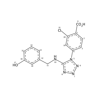 O=C(O)c1ccc(-n2nnnc2NCc2cccc(O)c2)cc1Cl